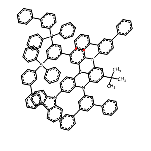 CC(C)(C)c1cc2c3c(c1)N(c1ccc(-c4ccccc4)cc1-c1ccccc1)c1ccc(-c4cc([Si](c5ccccc5)(c5ccccc5)c5cccc(-c6ccccc6)c5)cc([Si](c5ccccc5)(c5ccccc5)c5cccc(-c6ccccc6)c5)c4)cc1B3c1ccc(-n3c4ccccc4c4ccccc43)cc1N2c1cc(-c2ccccc2)cc(-c2ccccc2)c1